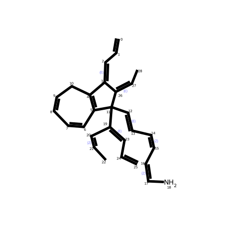 C=C/C=C1/C2=C(C=CC=CC2)C(/C=C/C=C\C=C/N)(C(/C=C\C)=C/C=C)/C1=C/C